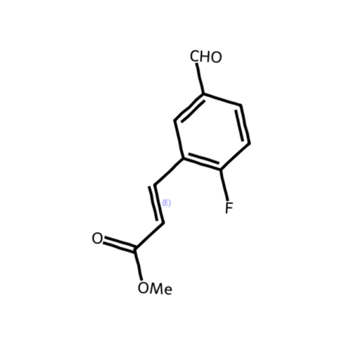 COC(=O)/C=C/c1cc(C=O)ccc1F